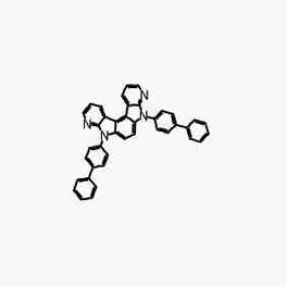 c1ccc(-c2ccc(-n3c4ccc5c(c6cccnc6n5-c5ccc(-c6ccccc6)cc5)c4c4cccnc43)cc2)cc1